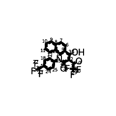 O=C(c1c(O)c2ccc3ccccc3c2n(-c2ccc(C(F)(F)F)cc2)c1=O)C(F)(F)F